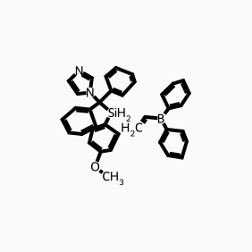 C=CB(c1ccccc1)c1ccccc1.COc1ccc([SiH2]C(c2ccccc2)(c2ccccc2)n2ccnc2)cc1